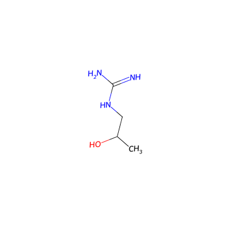 CC(O)CNC(=N)N